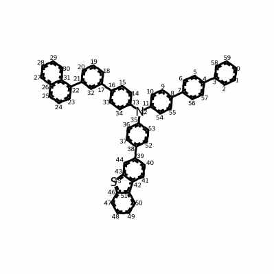 c1ccc(-c2ccc(-c3ccc(N(c4ccc(-c5cccc(-c6cccc7ccccc67)c5)cc4)c4ccc(-c5ccc6c(c5)sc5ccccc56)cc4)cc3)cc2)cc1